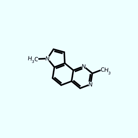 Cc1ncc2ccc3c(ccn3C)c2n1